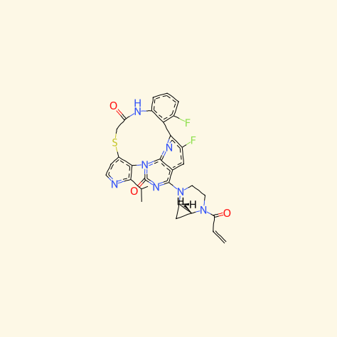 C=CC(=O)N1CCN(c2nc(=O)n3c4nc(c(F)cc24)-c2c(F)cccc2NC(=O)CSc2ccnc(C(C)C)c2-3)[C@H]2C[C@H]21